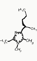 CCCC(C)c1nc(C)n(C)c1C